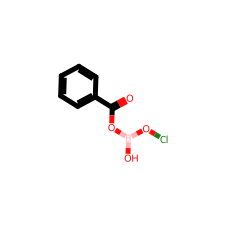 O=C(OB(O)OCl)c1ccccc1